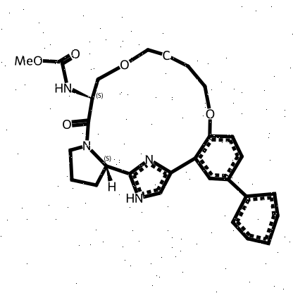 COC(=O)N[C@H]1COCCCCOc2ccc(-c3ccccc3)cc2-c2c[nH]c(n2)[C@@H]2CCCN2C1=O